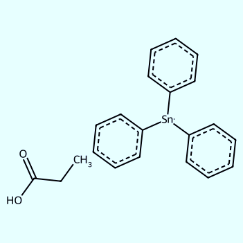 CCC(=O)O.c1cc[c]([Sn]([c]2ccccc2)[c]2ccccc2)cc1